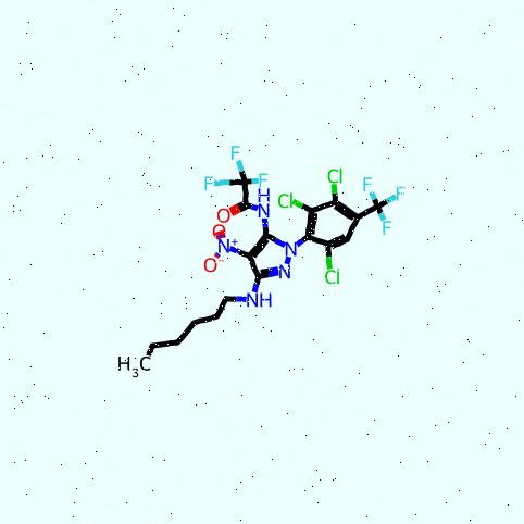 CCCCCCNc1nn(-c2c(Cl)cc(C(F)(F)F)c(Cl)c2Cl)c(NC(=O)C(F)(F)F)c1[N+](=O)[O-]